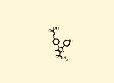 CC1=C(C(N)=O)SC(C2CCNCC2)N1[C@H]1CC[C@H](CCC(=O)O)CC1